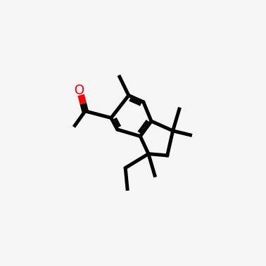 CCC1(C)CC(C)(C)c2cc(C)c(C(C)=O)cc21